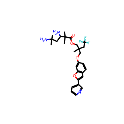 CC(C)(N)CC(N)C(C)(C)C(=O)OCC(C)(COc1ccc2cc(-c3cccnc3)oc2c1)CC(F)(F)F